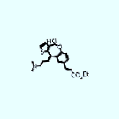 CCOC(=O)/C=C/c1ccc2c(c1)/C(=C/CCN(C)C)c1sccc1CO2.Cl